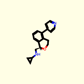 c1cc(-c2ccncc2)c2c(c1)[C@H](CNC1CC1)OCC2